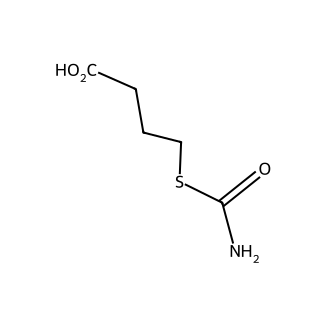 NC(=O)SCCCC(=O)O